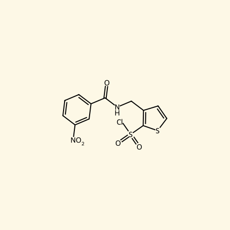 O=C(NCc1ccsc1S(=O)(=O)Cl)c1cccc([N+](=O)[O-])c1